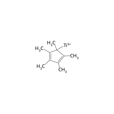 CC1=C(C)[C](C)([Ti+3])C(C)=C1C